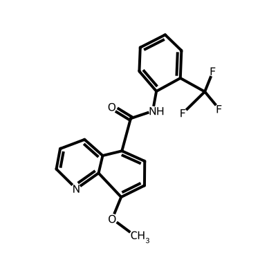 COc1ccc(C(=O)Nc2ccccc2C(F)(F)F)c2cccnc12